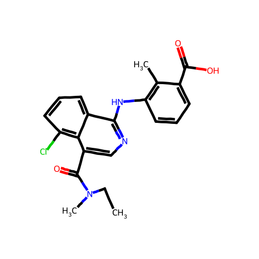 CCN(C)C(=O)c1cnc(Nc2cccc(C(=O)O)c2C)c2cccc(Cl)c12